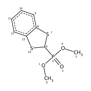 COP(=O)(OC)C1Sc2ccccc2S1